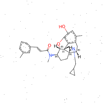 Cc1cccc(C=CC(=O)N(C)[C@@H]2CC[C@H]3[C@H]4Cc5c(C)cc(O)c6c5[C@@]3(CCN4CC3CC3)[C@H]2O6)c1